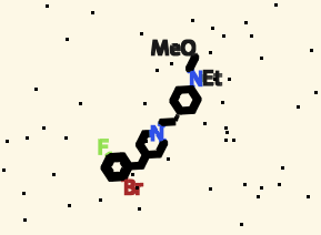 CCN(CCOC)[C@H]1CC[C@H](CCN2CCC(Cc3cc(F)ccc3Br)CC2)CC1